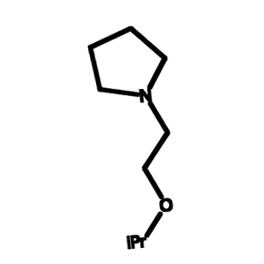 [CH2]C(C)OCCN1CCCC1